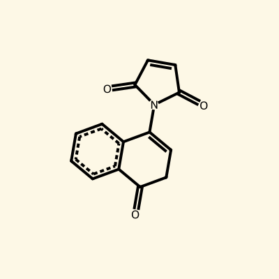 O=C1CC=C(N2C(=O)C=CC2=O)c2ccccc21